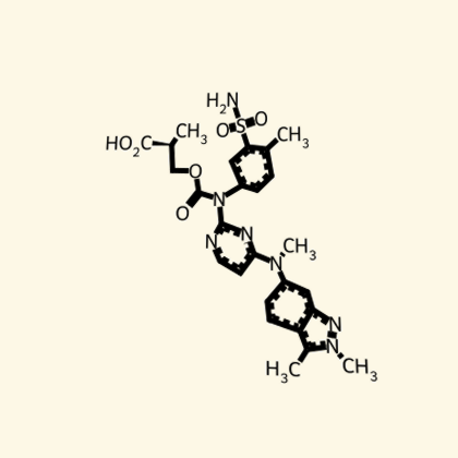 Cc1ccc(N(C(=O)OC[C@H](C)C(=O)O)c2nccc(N(C)c3ccc4c(C)n(C)nc4c3)n2)cc1S(N)(=O)=O